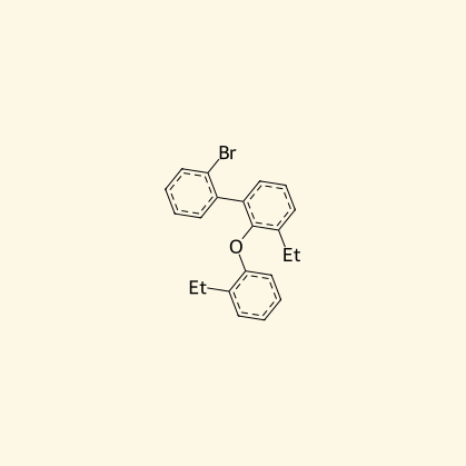 CCc1ccccc1Oc1c(CC)cccc1-c1ccccc1Br